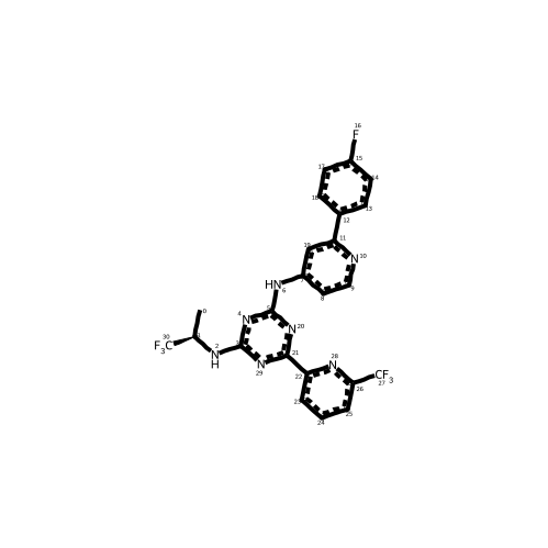 C[C@@H](Nc1nc(Nc2ccnc(-c3ccc(F)cc3)c2)nc(-c2cccc(C(F)(F)F)n2)n1)C(F)(F)F